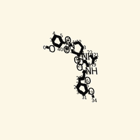 COc1cccc(S(=O)(=O)N2CCCC(NC(=O)[C@H](CC(C)C)NC(=O)c3cc4cccc(OC)c4o3)C(=O)C2)c1